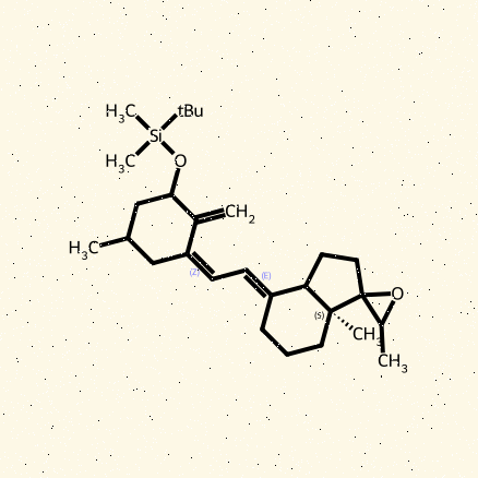 C=C1/C(=C\C=C2/CCC[C@@]3(C)C2CCC32OC2C)CC(C)CC1O[Si](C)(C)C(C)(C)C